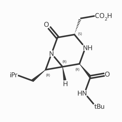 CC(C)C[C@@H]1[C@H]2[C@H](C(=O)NC(C)(C)C)N[C@@H](CC(=O)O)C(=O)N21